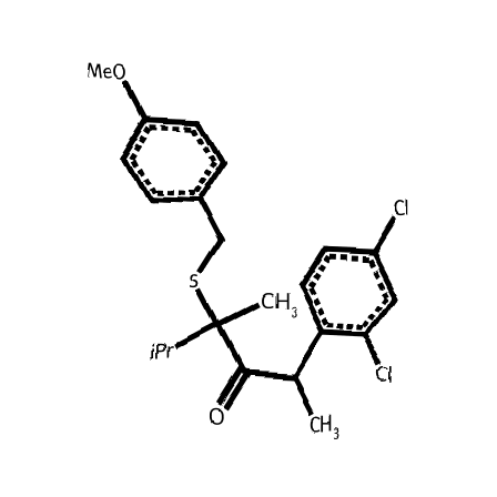 COc1ccc(CSC(C)(C(=O)C(C)c2ccc(Cl)cc2Cl)C(C)C)cc1